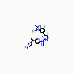 C=C(c1ccc(Nc2ncc(F)c(-c3cc(F)c4nc(C)n(C(C)C)c4c3)n2)nc1)C1CN(CC)C1